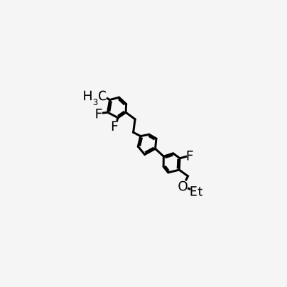 CCOCc1ccc(-c2ccc(CCc3ccc(C)c(F)c3F)cc2)cc1F